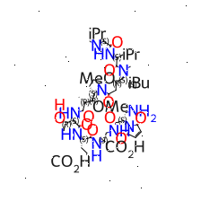 CC[C@H](C)[C@@H]([C@@H](CC(=O)N1CCC[C@H]1[C@H](OC)[C@@H](C)C(=O)N[C@H](C(=O)N[C@@H](CCC(=O)O)C(=O)N[C@@H](CNC(=O)[C@H](CN)N1C(=O)C=CC1=O)C(=O)O)[C@@H](C)O)OC)N(C)C(=O)[C@@H](NC(=O)[C@H](C(C)C)N(C)C)C(C)C